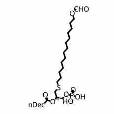 CCCCCCCCCCC(=O)O[C@H](COP(=O)(O)O)CSCCCCCCCCCCCCCCOC=O